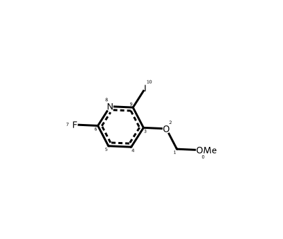 COCOc1ccc(F)nc1I